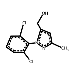 Cc1cc(CO)n(-c2c(Cl)cccc2Cl)n1